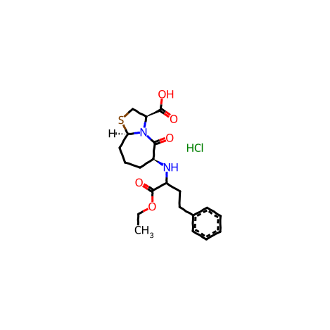 CCOC(=O)C(CCc1ccccc1)N[C@H]1CCC[C@H]2SC[C@@H](C(=O)O)N2C1=O.Cl